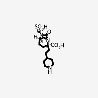 O=C1N(OS(=O)(=O)O)[C@@H]2CC[C@@](CCC3CCNCC3)(C(=O)O)N1C2